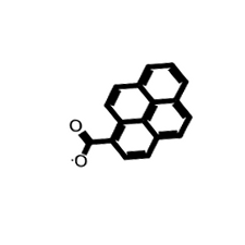 [O]C(=O)c1ccc2ccc3cccc4ccc1c2c34